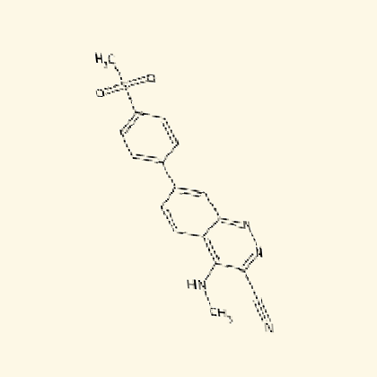 CNc1c(C#N)nnc2cc(-c3ccc(S(C)(=O)=O)cc3)ccc12